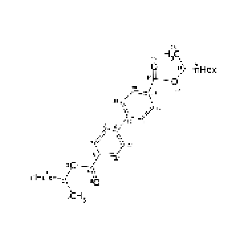 CCCCCC[C@@H](C)OC(=O)c1ccc(-c2ccc(C(=O)O[C@H](C)CCCCCC)cc2)cc1